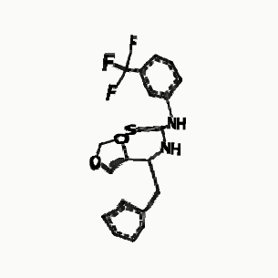 FC(F)(F)c1cccc(NC(=S)NC(Cc2ccccc2)C2=COCO2)c1